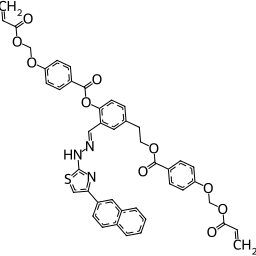 C=CC(=O)OCOc1ccc(C(=O)OCCc2ccc(OC(=O)c3ccc(OCOC(=O)C=C)cc3)c(/C=N/Nc3nc(-c4ccc5ccccc5c4)cs3)c2)cc1